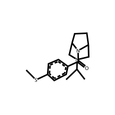 CSc1ccc(C(=O)N2C3CCC2CN(C(C)C)C3)cc1